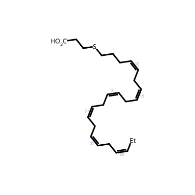 CC/C=C\C/C=C\C/C=C\C/C=C\C/C=C\C/C=C\CCCSCCC(=O)O